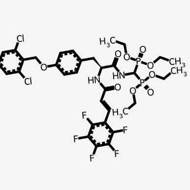 CCOP(=O)(OCC)C(NC(=O)[C@H](Cc1ccc(OCc2c(Cl)cccc2Cl)cc1)NC(=O)/C=C/c1c(F)c(F)c(F)c(F)c1F)P(=O)(OCC)OCC